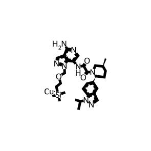 CC(C)n1ncc2cc([C@H]3CC[C@H](C)CN3C(=O)C(=O)Nc3cnc(N)c4cnn(COCC[Si](C)(C)C)c34)ccc21.[Cu]